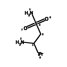 CC(C)C(N)CS(N)(=O)=O